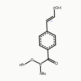 CCCCCCCC/C=C/c1ccc(C(=O)N(CCCC)OCCC)cc1